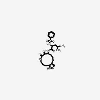 CC(C)CC(NS(=O)(=O)c1ccccc1)C(=O)NC1CCCc2cn[nH]c2CCCNC(=O)C1=O